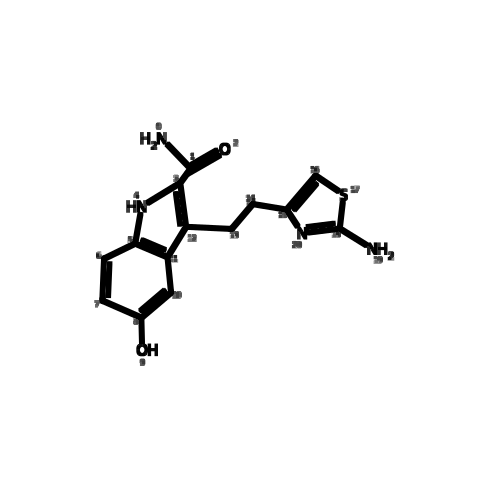 NC(=O)c1[nH]c2ccc(O)cc2c1C[CH]c1csc(N)n1